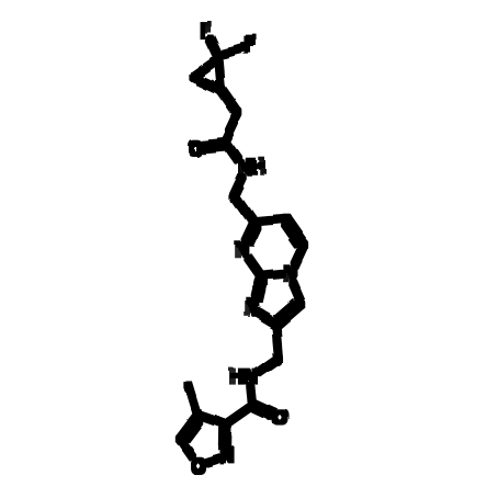 Cc1conc1C(=O)NCc1cn2ccc(CNC(=O)CC3CC3(F)F)nc2n1